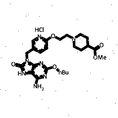 CCCCOc1nc(N)c2[nH]c(=O)n(Cc3ccc(OCCN4CCC(C(=O)OC)CC4)nc3)c2n1.Cl